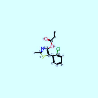 CCC(=O)Oc1nc(C)sc1-c1ccccc1Cl